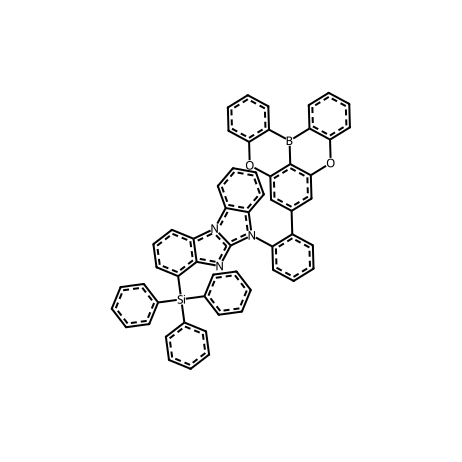 c1ccc([Si](c2ccccc2)(c2ccccc2)c2cccc3c2nc2n(-c4ccccc4-c4cc5c6c(c4)Oc4ccccc4B6c4ccccc4O5)c4ccccc4n32)cc1